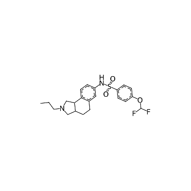 CCCN1CC2CCc3cc(NS(=O)(=O)c4ccc(OC(F)F)cc4)ccc3C2C1